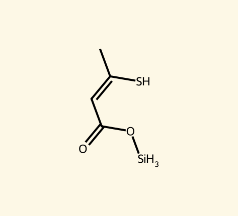 CC(S)=CC(=O)O[SiH3]